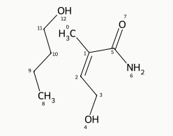 CC(=CCO)C(N)=O.CCCCO